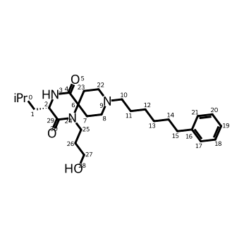 CC(C)C[C@@H]1NC(=O)C2(CCN(CCCCCCc3ccccc3)CC2)N(CCCO)C1=O